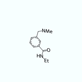 CCNC(=O)c1cccc(CNC)c1